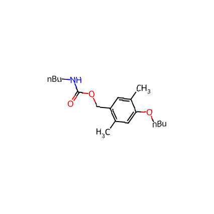 CCCCNC(=O)OCc1cc(C)c(OCCCC)cc1C